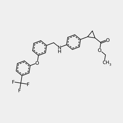 CCOC(=O)C1CC1c1ccc(NCc2cccc(Oc3cccc(C(F)(F)F)c3)c2)cc1